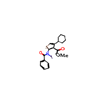 COC(=O)c1c(C2CCCCC2)csc1N(I)C(=O)c1ccccc1